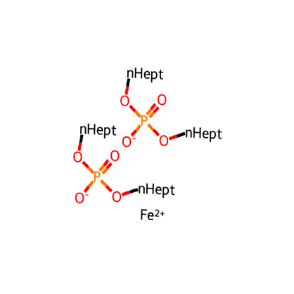 CCCCCCCOP(=O)([O-])OCCCCCCC.CCCCCCCOP(=O)([O-])OCCCCCCC.[Fe+2]